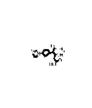 CC(=O)C(c1ccc(-n2ccnc2)cc1)C(C)CC(=O)O